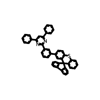 c1ccc(-c2cc(-c3ccccc3)nc(-c3cccc(-c4ccc5c(c4)C4(c6ccccc6S5)c5ccccc5-c5ccccc54)c3)n2)cc1